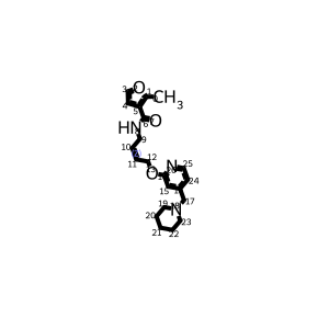 Cc1occc1C(=O)NC/C=C\COc1cc(CN2CCCCC2)ccn1